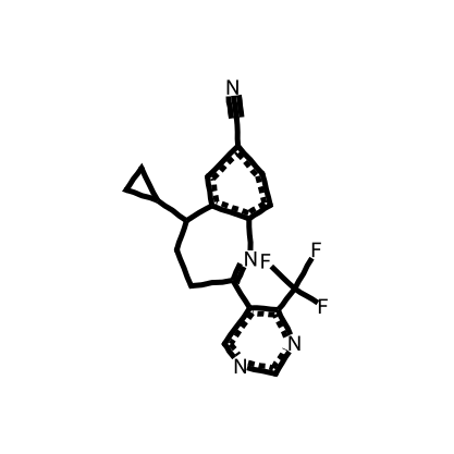 N#Cc1ccc2c(c1)C(C1CC1)CCC(c1cncnc1C(F)(F)F)=N2